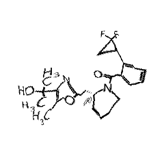 Cc1oc(C[C@H]2CCCCN2C(=O)c2ccccc2C2CC2(F)F)nc1C(C)(C)O